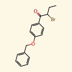 CCC(Br)C(=O)c1ccc(OCc2ccccc2)cc1